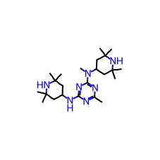 Cc1nc(NC2CC(C)(C)NC(C)(C)C2)nc(N(C)C2CC(C)(C)NC(C)(C)C2)n1